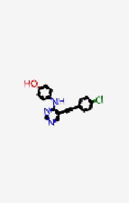 Oc1ccc(Nc2ncncc2C#Cc2ccc(Cl)cc2)cc1